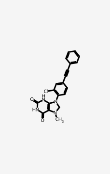 CN1CN(c2ccc(C#Cc3ccccc3)cc2Cl)c2[nH]c(=O)[nH]c(=O)c21